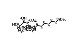 CC(=O)O.CC(=O)O.CC(=O)OCC(O)CO.CCCCCCCCCCCCCCCCCC(=O)O